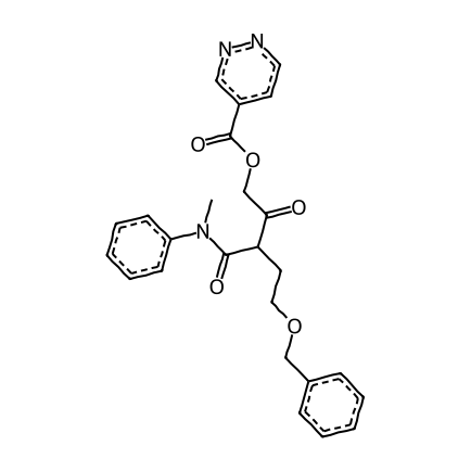 CN(C(=O)C(CCOCc1ccccc1)C(=O)COC(=O)c1ccnnc1)c1ccccc1